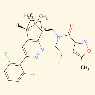 Cc1cc(C(=O)N(CCF)C[C@@]23CC[C@@H](c4cc(-c5c(F)cccc5F)nnc42)C3(C)C)no1